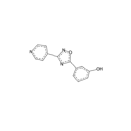 Oc1cccc(-c2nc(-c3ccncc3)no2)c1